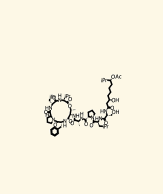 CC(=O)O[C@@H](CCCC[C@@H](O)CC(=O)N[C@H](CO)C(=O)N[C@@H](CC(C)C)C(=O)N1CCC[C@H]1C(=O)N[C@H](C)C(=O)N[C@@H]1C(=O)N[C@H](Cc2ccccc2)C(=O)N2CCC[C@H]2C(=O)N[C@H](CC(C)C)C(=O)N[C@@H](C(C)C)C(=O)O[C@@H]1C)C(C)C